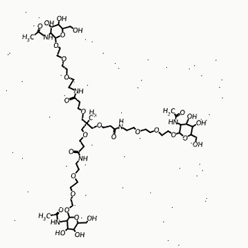 CC(=O)NC1C(OCCOCCOCCNC(=O)CCOCC(C)(COCCC(=O)NCCOCCOCCOC2OC(CO)C(O)C(O)C2NC(C)=O)COCCC(=O)NCCOCCOCCOC2OC(CO)C(O)C(O)C2NC(C)=O)OC(CO)C(O)C1O